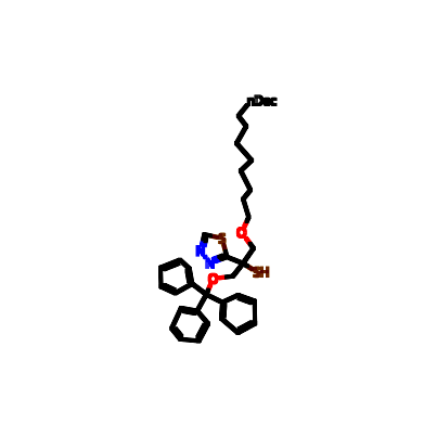 CCCCCCCCCCCCCCCCCCOCC(S)(COC(c1ccccc1)(c1ccccc1)c1ccccc1)c1nncs1